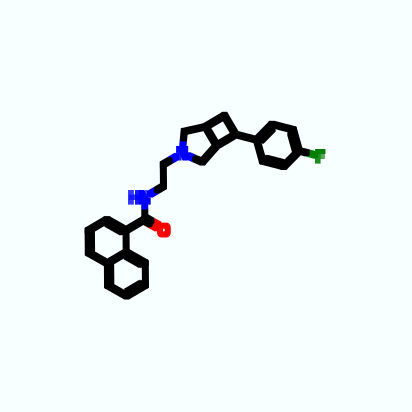 O=C(NCCN1CC2CC(c3ccc(F)cc3)C2C1)c1cccc2ccccc12